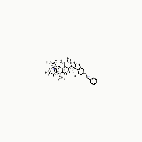 CN[C@@H](C(=O)N[C@H](C(=O)N(C)[C@H](/C=C(\C)C(=O)O)C(C)C)C(C)(C)C)C(C)(C)c1ccc(/C=C/c2ccccc2)cc1